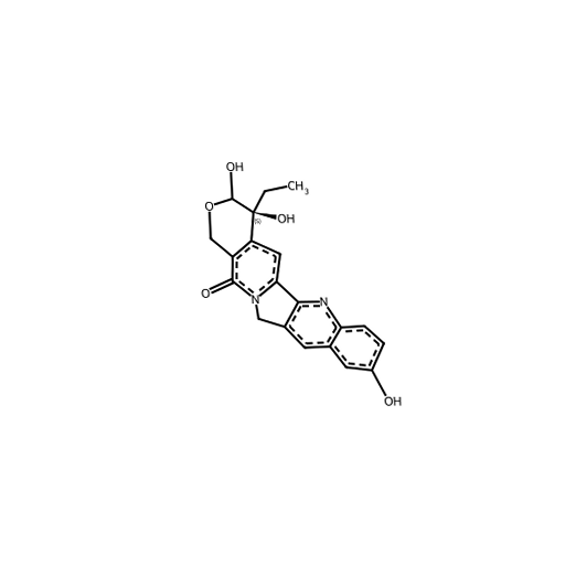 CC[C@]1(O)c2cc3n(c(=O)c2COC1O)Cc1cc2cc(O)ccc2nc1-3